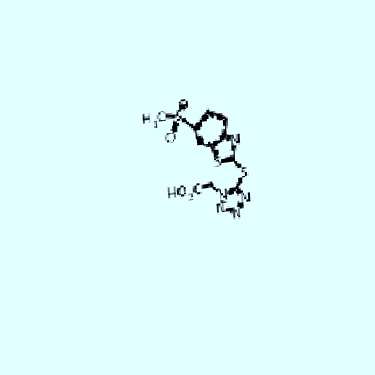 CS(=O)(=O)c1ccc2nc(Sc3nnnn3CC(=O)O)sc2c1